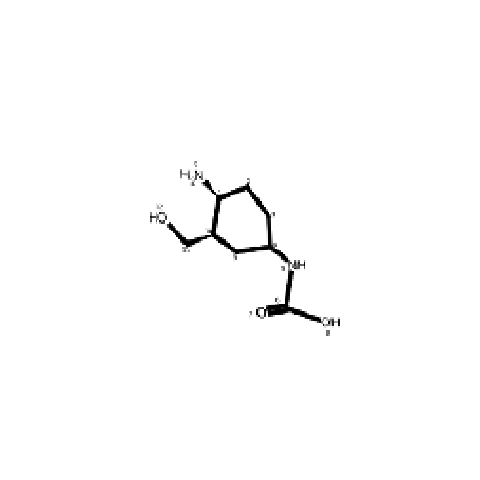 N[C@H]1CCC(NC(=O)O)C[C@H]1CO